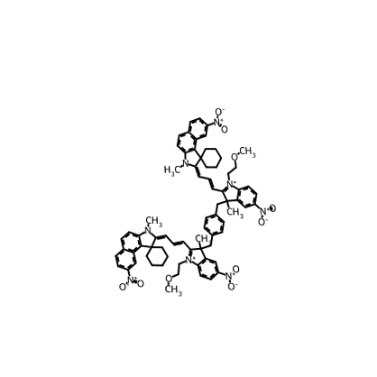 COCC[N+]1=C(/C=C/C=C2/N(C)c3ccc4ccc([N+](=O)[O-])cc4c3C23CCCCC3)C(C)(Cc2ccc(CC3(C)C(/C=C/C=C4/N(C)c5ccc6ccc([N+](=O)[O-])cc6c5C45CCCCC5)=[N+](CCOC)c4ccc([N+](=O)[O-])cc43)cc2)c2cc([N+](=O)[O-])ccc21